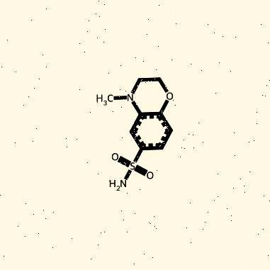 CN1CCOc2ccc(S(N)(=O)=O)cc21